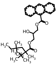 CCC(C)(C)CC(C)(C(=O)OCC(O)COC(=O)c1c2ccccc2cc2ccccc12)C(C)(C)C